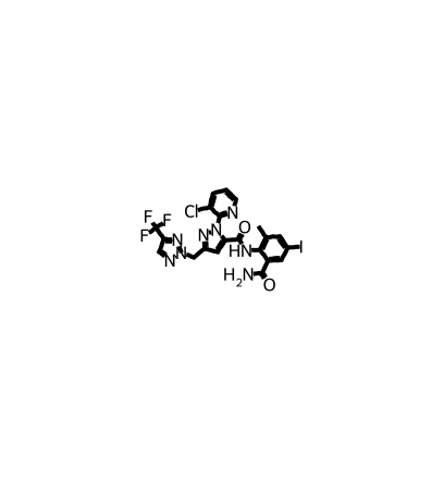 Cc1cc(I)cc(C(N)=O)c1NC(=O)c1cc(Cn2ncc(C(F)(F)F)n2)nn1-c1ncccc1Cl